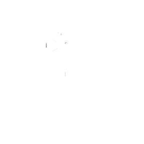 CCCCCCCCCCCCCc1ccccc1S(=O)(=O)O.[CaH2]